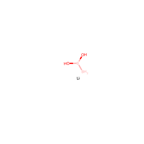 BB(O)O.[Li]